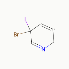 BrC1(I)C=[C]CN=C1